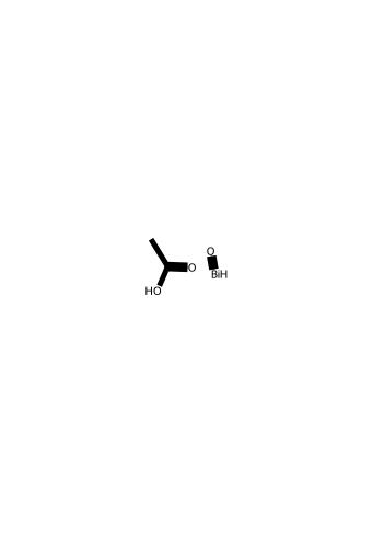 CC(=O)O.[O]=[BiH]